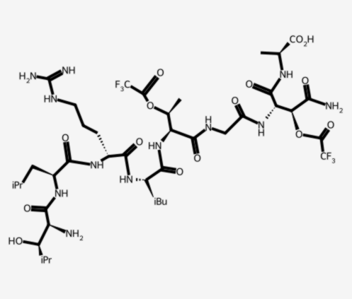 CC[C@H](C)[C@H](NC(=O)[C@@H](CCCNC(=N)N)NC(=O)[C@H](CC(C)C)NC(=O)[C@@H](N)[C@H](O)C(C)C)C(=O)N[C@H](C(=O)NCC(=O)N[C@H](C(=O)N[C@@H](C)C(=O)O)[C@H](OC(=O)C(F)(F)F)C(N)=O)[C@H](C)OC(=O)C(F)(F)F